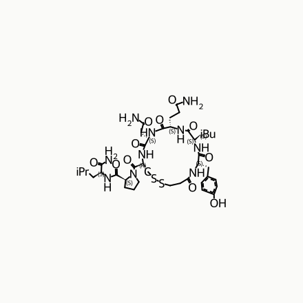 CC[C@H](C)[C@@H]1NC(=O)[C@H](Cc2ccc(O)cc2)NC(=O)CCSSC[C@@H](C(=O)N2CCC[C@H]2C(=O)N[C@@H](CC(C)C)C(N)=O)NC(=O)[C@H](CC(N)=O)NC(=O)[C@H](CCC(N)=O)NC1=O